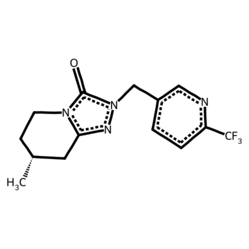 C[C@@H]1CCn2c(nn(Cc3ccc(C(F)(F)F)nc3)c2=O)C1